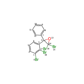 Brc1cccc(C2(c3ccccc3)OC2(Br)Br)c1Br